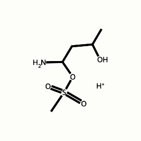 CC(O)CC(N)OS(C)(=O)=O.[H+]